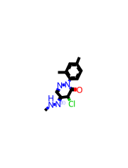 CN/N=C1\C=NN(c2ccc(C)cc2C)C(=O)C1Cl